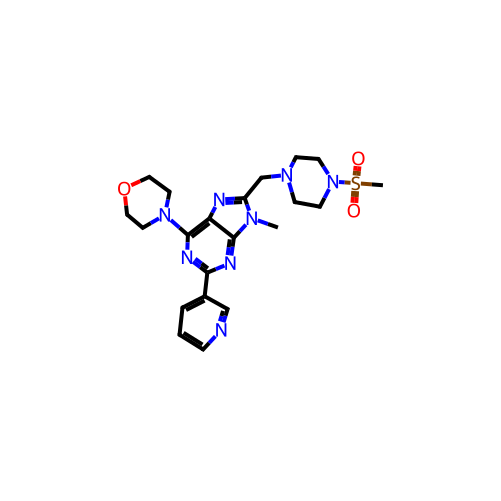 Cn1c(CN2CCN(S(C)(=O)=O)CC2)nc2c(N3CCOCC3)nc(-c3cccnc3)nc21